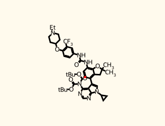 CCN1CCC(Oc2ccc(NC(=O)Nc3ccc(-c4cn(C5CC5)c5ncnc(N(C(=O)OC(C)(C)C)C(=O)OC(C)(C)C)c45)c4c3OC(C)(C)C4)cc2C(F)(F)F)CC1